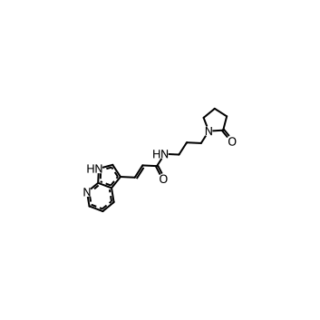 O=C(C=Cc1c[nH]c2ncccc12)NCCCN1CCCC1=O